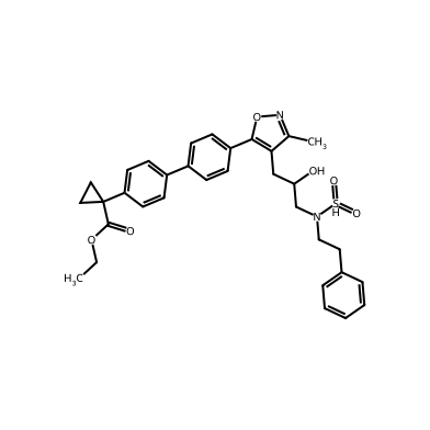 CCOC(=O)C1(c2ccc(-c3ccc(-c4onc(C)c4CC(O)CN(CCc4ccccc4)[SH](=O)=O)cc3)cc2)CC1